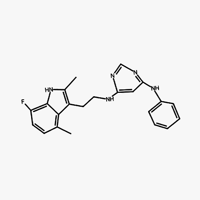 Cc1[nH]c2c(F)ccc(C)c2c1CCNc1cc(Nc2ccccc2)ncn1